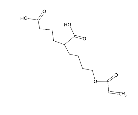 C=CC(=O)OCCCCC(CCCC(=O)O)C(=O)O